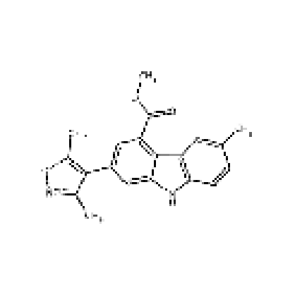 COC(=O)c1cc(-c2c(C)noc2C)cc2[nH]c3ccc(C)cc3c12